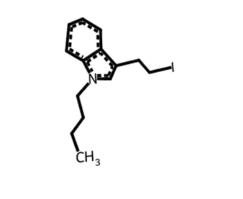 CCCCn1cc(CCI)c2ccccc21